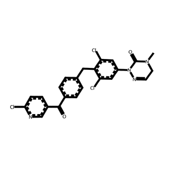 CN1CC=NN(c2cc(Cl)c(Cc3ccc(C(=O)c4ccc(Cl)nc4)cc3)c(Cl)c2)C1=O